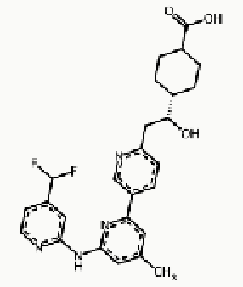 Cc1cc(Nc2cc(C(F)F)ccn2)nc(-c2ccc(CC(O)[C@H]3CC[C@H](C(=O)O)CC3)nc2)c1